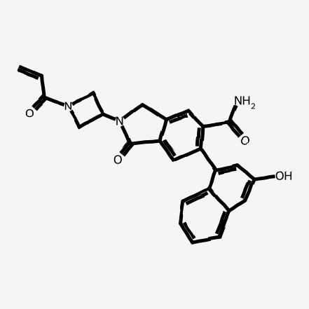 C=CC(=O)N1CC(N2Cc3cc(C(N)=O)c(-c4cc(O)cc5ccccc45)cc3C2=O)C1